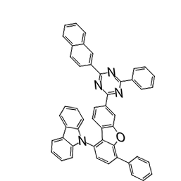 c1ccc(-c2nc(-c3ccc4ccccc4c3)nc(-c3ccc4c(c3)oc3c(-c5ccccc5)ccc(-n5c6ccccc6c6ccccc65)c34)n2)cc1